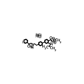 CC(C)Sc1cc(-c2ccc(CCNC[C@H](O)c3cccnc3)cc2)ccc1C(=O)NS(C)(=O)=O.Cl.Cl